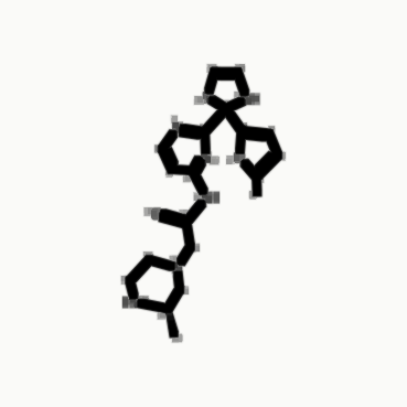 Cc1ccc(C2(c3nccc(NC(=O)CN4CCN[C@H](C)C4)n3)NC=CS2)o1